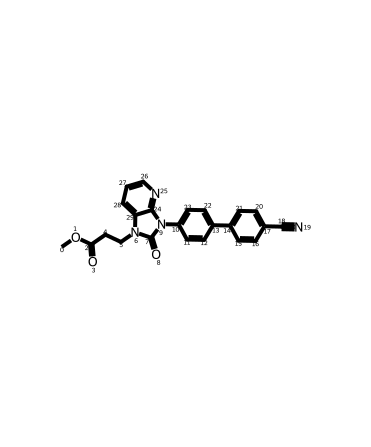 COC(=O)CCn1c(=O)n(-c2ccc(-c3ccc(C#N)cc3)cc2)c2ncccc21